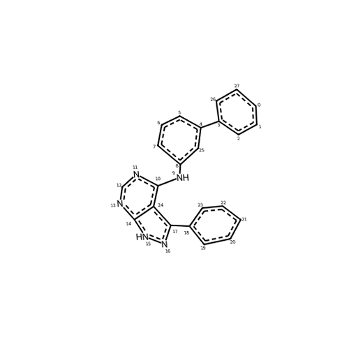 c1ccc(-c2cccc(Nc3ncnc4[nH]nc(-c5ccccc5)c34)c2)cc1